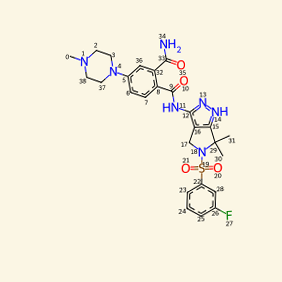 CN1CCN(c2ccc(C(=O)Nc3n[nH]c4c3CN(S(=O)(=O)c3cccc(F)c3)C4(C)C)c(C(N)=O)c2)CC1